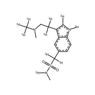 [2H]c1c(C([2H])([2H])CN(C)C([2H])([2H])[2H])c2cc(C([2H])([2H])S(=O)(=O)N([2H])C)ccc2n1[2H]